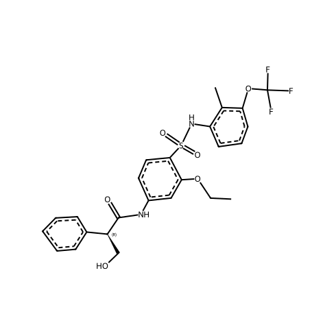 CCOc1cc(NC(=O)[C@@H](CO)c2ccccc2)ccc1S(=O)(=O)Nc1cccc(OC(F)(F)F)c1C